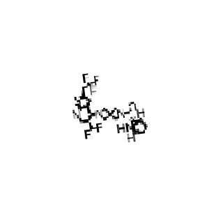 O=C([C@H]1N[C@@H]2CC[C@H]1C2)N1CC2(C1)CN(c1c(C(F)F)cnc3sc(CC(F)(F)F)cc13)C2